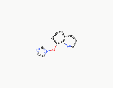 c1cnc2c(On3ccnc3)cccc2c1